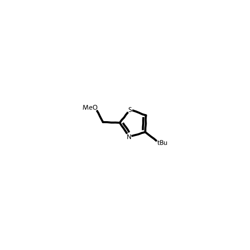 COCc1nc(C(C)(C)C)cs1